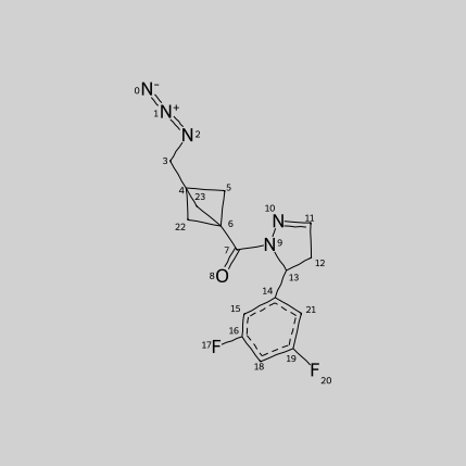 [N-]=[N+]=NCC12CC(C(=O)N3N=CCC3c3cc(F)cc(F)c3)(C1)C2